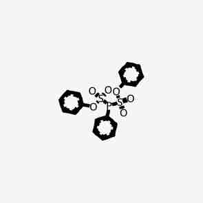 O=S(=O)(Oc1ccccc1)P(c1ccccc1)S(=O)(=O)Oc1ccccc1